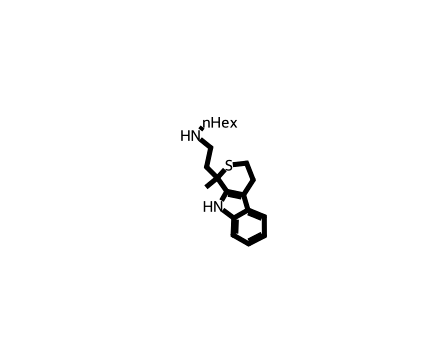 CCCCCCNCCC1(C)SCCc2c1[nH]c1ccccc21